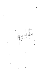 CC(C)(C)NC(=O)Nc1ccc2[nH]nc(C=O)c2c1